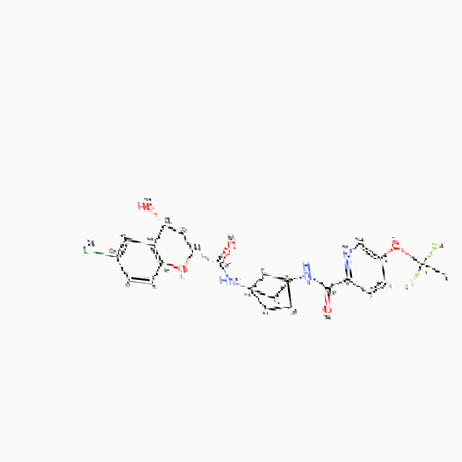 CC(F)(F)Oc1ccc(C(=O)NC23CCC(NC(=O)[C@H]4C[C@@H](O)c5cc(Cl)ccc5O4)(C2)C3)nc1